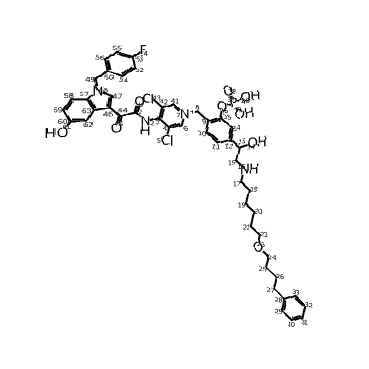 O=C(Nc1c(Cl)c[n+](Cc2ccc(C(O)CNCCCCCCOCCCCc3ccccc3)cc2OP(=O)(O)O)cc1Cl)C(=O)c1cn(Cc2ccc(F)cc2)c2ccc(O)cc12